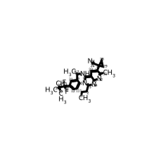 CCCc1nc(N[C@H](C)c2cccc(C(F)(F)C(C)(C)C)c2)c2cc(C3(C#N)CC3)c(C)nc2n1